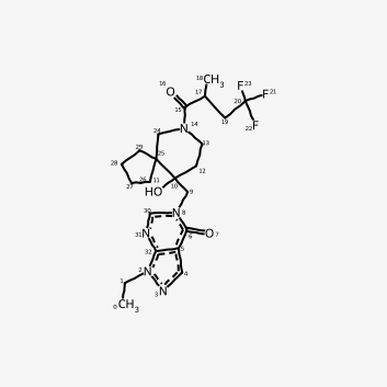 CCn1ncc2c(=O)n(CC3(O)CCN(C(=O)C(C)CC(F)(F)F)CC34CCCC4)cnc21